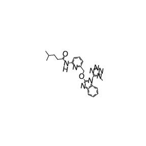 CC(C)CCC(=O)Nc1cccc(COc2nc3ccccc3n2-c2nnnn2C)n1